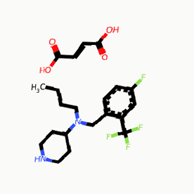 CCCCN(Cc1ccc(F)cc1C(F)(F)F)C1CCNCC1.O=C(O)C=CC(=O)O